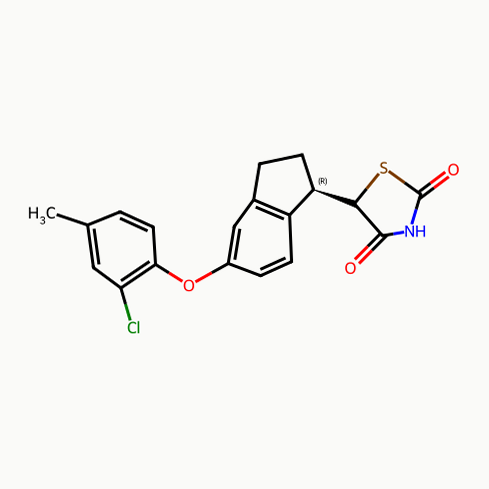 Cc1ccc(Oc2ccc3c(c2)CC[C@H]3C2SC(=O)NC2=O)c(Cl)c1